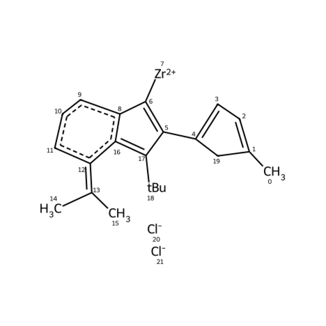 CC1=CC=C(C2=[C]([Zr+2])c3cccc(=C(C)C)c3=C2C(C)(C)C)C1.[Cl-].[Cl-]